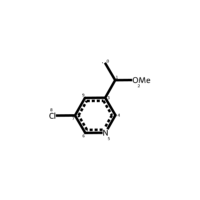 [CH2]C(OC)c1cncc(Cl)c1